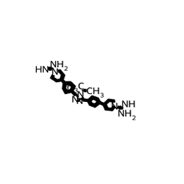 CC(C)n1c(-c2ccc(C3=CCN(C(=N)N)CC3)cc2)nnc1-c1ccc(C2=CCN(C(=N)N)CC2)cc1